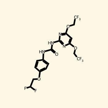 O=C(Nc1ccc(OCC(F)F)cc1)Nc1nc(OCC(F)(F)F)cc(OCC(F)(F)F)n1